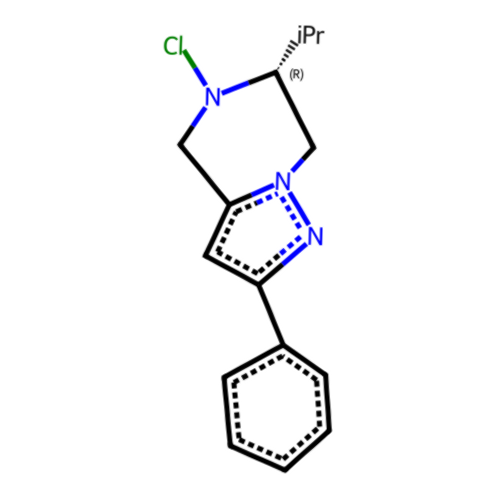 CC(C)[C@@H]1Cn2nc(-c3ccccc3)cc2CN1Cl